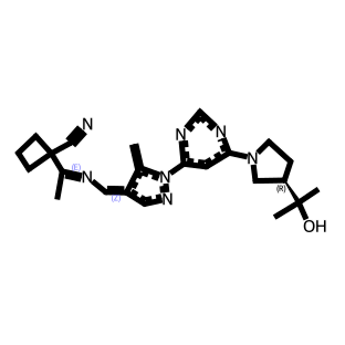 C=c1/c(=C\N=C(/C)C2(C#N)CCC2)cnn1-c1cc(N2CC[C@@H](C(C)(C)O)C2)ncn1